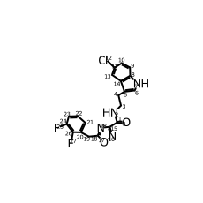 O=C(NCCc1c[nH]c2ccc(Cl)cc12)c1noc(Cc2cccc(F)c2F)n1